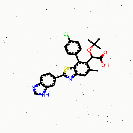 Cc1cc2nc(-c3ccc4nc[nH]c4c3)sc2c(-c2ccc(Cl)cc2)c1C(OC(C)(C)C)C(=O)O